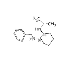 CC(C)N[C@H]1CCCC[C@@H]1NCc1ccccc1